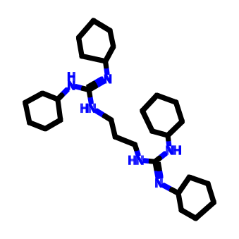 C1CCC(N=C(NCCCNC(=NC2CCCCC2)NC2CCCCC2)NC2CCCCC2)CC1